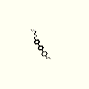 C=CCOCc1ccc(-c2ccc(C3CCC(C)CC3)cc2)cc1